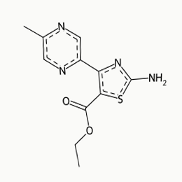 CCOC(=O)c1sc(N)nc1-c1cnc(C)cn1